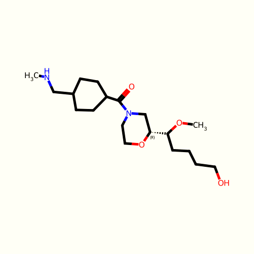 CNCC1CCC(C(=O)N2CCO[C@@H](C(CCCCO)OC)C2)CC1